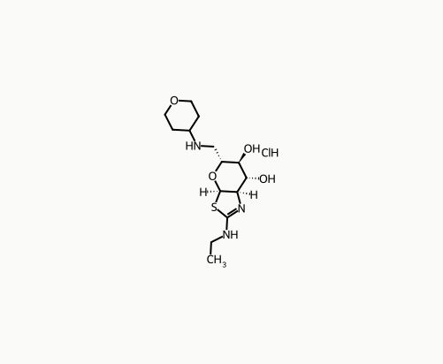 CCNC1=N[C@@H]2[C@@H](O)[C@H](O)[C@@H](CNC3CCOCC3)O[C@@H]2S1.Cl